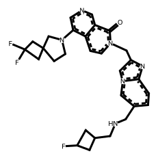 O=c1c2cncc(N3CCC4(C3)CC(F)(F)C4)c2ccn1Cc1cn2cc(CNCC3CC(F)C3)ccc2n1